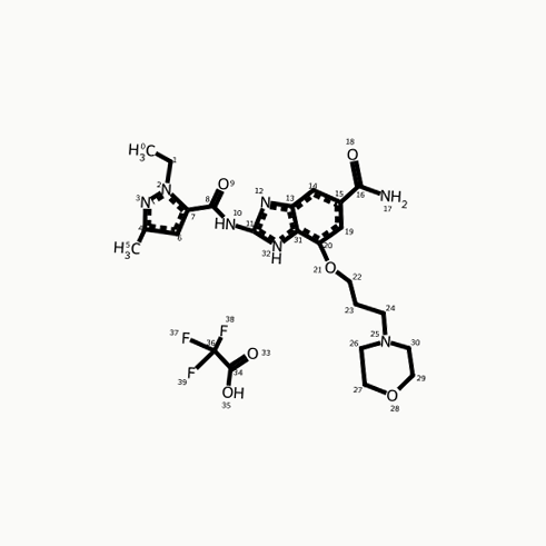 CCn1nc(C)cc1C(=O)Nc1nc2cc(C(N)=O)cc(OCCCN3CCOCC3)c2[nH]1.O=C(O)C(F)(F)F